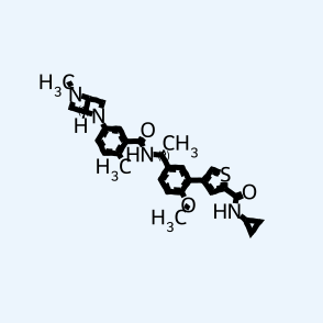 COc1ccc([C@@H](C)NC(=O)c2cc(N3CC4[C@@H]3CN4C)ccc2C)cc1-c1csc(C(=O)NC2CC2)c1